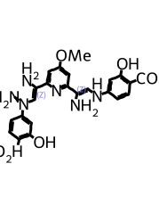 COc1cc(/C(N)=C/Nc2ccc(C(=O)O)c(O)c2)nc(/C(N)=C/N(N)c2ccc(C(=O)O)c(O)c2)c1